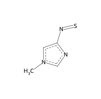 Cn1cnc(N=S)c1